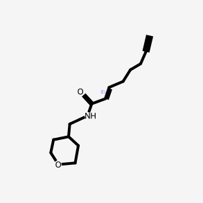 C#CCCC/C=C/C(=O)NCC1CCOCC1